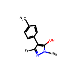 CCc1nn(C(C)(C)C)c(O)c1-c1ccc(C)cc1